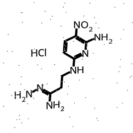 Cl.NN=C(N)CCNc1ccc([N+](=O)[O-])c(N)n1